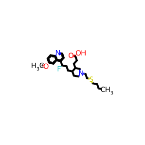 CCCCSCCN1CCC(CC[C@H](F)c2ccnc3ccc(OC)cc23)C(CCC(=O)O)C1